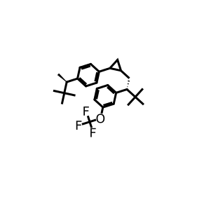 C[C@@H](c1ccc(C2CC2C[C@@H](c2cccc(OC(F)(F)F)c2)C(C)(C)C)cc1)C(C)(C)C